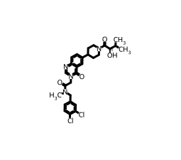 CC(C)[C@@H](O)C(=O)N1CCC(c2ccc3ncn(CC(=O)N(C)Cc4ccc(Cl)c(Cl)c4)c(=O)c3c2)CC1